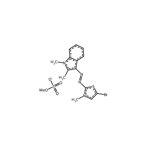 COS(=O)(=O)[O-].Cc1c(N=Nc2sc(Br)c[n+]2C)c2ccccc2n1C